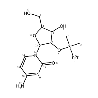 CCC[Si](C)(C)OC1C(O)C(CO)OC1n1ccc(N)nc1=O